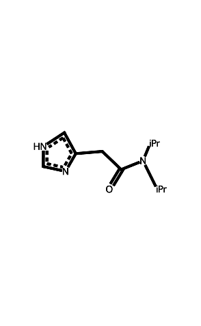 CC(C)N(C(=O)Cc1c[nH]cn1)C(C)C